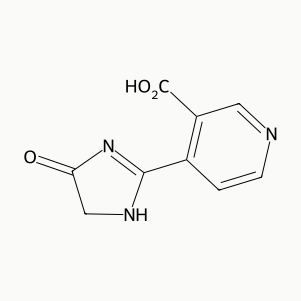 O=C1CNC(c2ccncc2C(=O)O)=N1